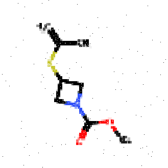 C=C(C)SC1CN(C(=O)OC(C)(C)C)C1